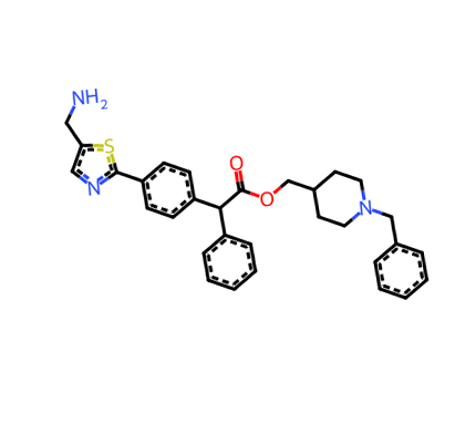 NCc1cnc(-c2ccc(C(C(=O)OCC3CCN(Cc4ccccc4)CC3)c3ccccc3)cc2)s1